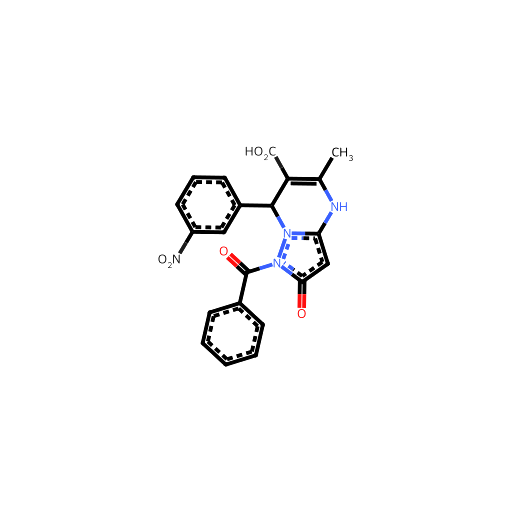 CC1=C(C(=O)O)C(c2cccc([N+](=O)[O-])c2)n2c(cc(=O)n2C(=O)c2ccccc2)N1